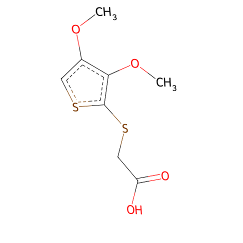 COc1csc(SCC(=O)O)c1OC